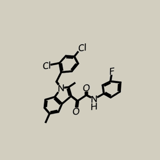 Cc1ccc2c(c1)c(C(=O)C(=O)Nc1cccc(F)c1)c(C)n2Cc1ccc(Cl)cc1Cl